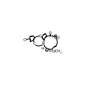 CO[C@@H]1/C=C/CCS(=O)(=O)NC(=O)c2ccc3c(c2)N(CCCCc2cc(Cl)ccc2CO3)C[C@@H]2CC[C@H]21